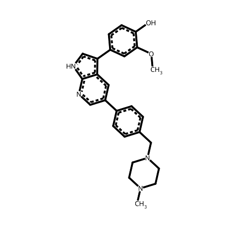 COc1cc(-c2c[nH]c3ncc(-c4ccc(CN5CCN(C)CC5)cc4)cc23)ccc1O